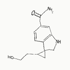 NC(=O)c1ccc2c(c1)NCC21CC1CCO